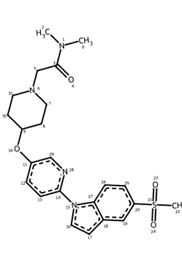 CN(C)C(=O)CN1CCC(Oc2ccc(-n3ccc4cc(S(C)(=O)=O)ccc43)nc2)CC1